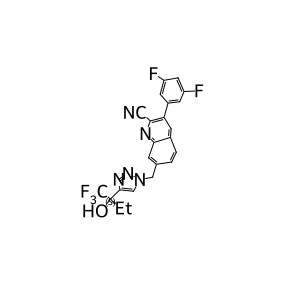 CC[C@](O)(c1cn(Cc2ccc3cc(-c4cc(F)cc(F)c4)c(C#N)nc3c2)nn1)C(F)(F)F